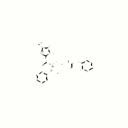 O=C(Oc1ccccc1)O[C@H](CCl)CN(Cc1ccccc1)C(=O)c1ccc(Cl)s1